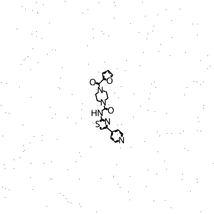 O=C(Nc1nc(-c2ccncc2)cs1)N1CCN(C(=O)c2ccco2)CC1